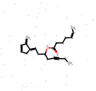 C=C1C=CC/C1=C\CC(CC#CCC)OC(=O)CCC/C=C\C